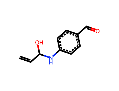 C=CC(O)Nc1ccc(C=O)cc1